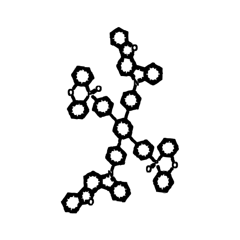 O=P1(c2ccc(-c3cc(-c4ccc(-n5c6ccccc6c6c7oc8ccccc8c7ccc65)cc4)c(-c4ccc(P5(=O)c6ccccc6Oc6ccccc65)cc4)cc3-c3ccc(-n4c5ccccc5c5c6oc7ccccc7c6ccc54)cc3)cc2)c2ccccc2Oc2ccccc21